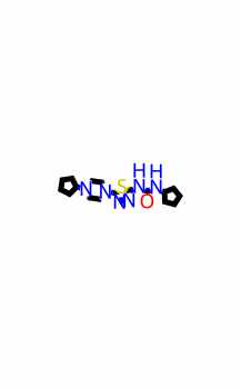 O=C(Nc1nnc(N2CCN(C3CCCC3)CC2)s1)NC1CCCC1